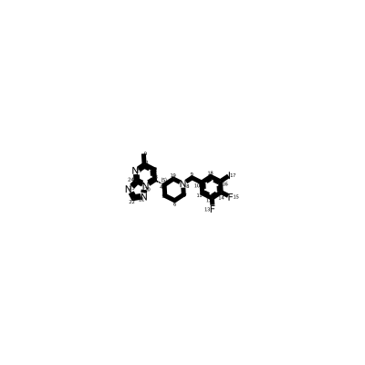 Cc1cc([C@H]2CCCN(Cc3cc(F)c(F)c(I)c3)C2)n2ncnc2n1